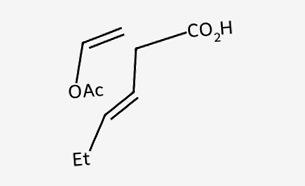 C=COC(C)=O.CCC=CCC(=O)O